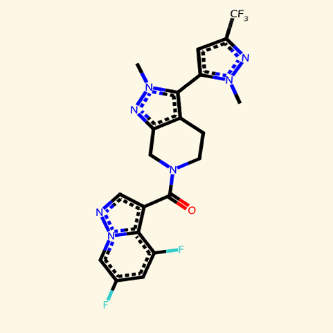 Cn1nc(C(F)(F)F)cc1-c1c2c(nn1C)CN(C(=O)c1cnn3cc(F)cc(F)c13)CC2